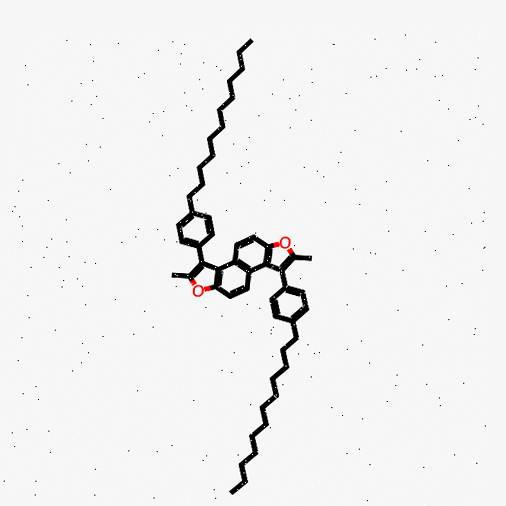 CCCCCCCCCCCCc1ccc(-c2c(C)oc3ccc4c(ccc5oc(C)c(-c6ccc(CCCCCCCCCCCC)cc6)c54)c23)cc1